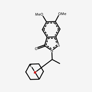 COc1cc2sn(C(C)N3CC4CCC(CC4)C3)c(=O)c2cc1OC